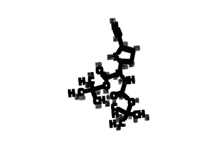 CC(C)(C)OC(=O)NN(C(=O)OC(C)(C)C)c1ccc(C#N)s1